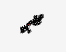 c1ccc(-c2nc(-c3ccc4ccc(-n5c6ccccc6c6c(-n7c8ccccc8c8cc9ccccc9cc87)c7ccccc7cc65)cc4c3)nc(-c3cccc4ccccc34)n2)cc1